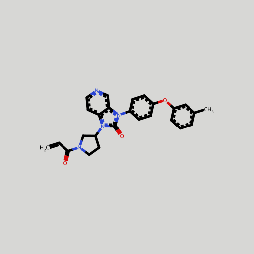 C=CC(=O)N1CCC(n2c(=O)n(-c3ccc(Oc4cccc(C)c4)cc3)c3cnccc32)C1